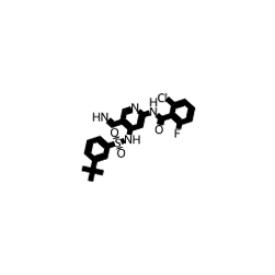 CC(C)(C)c1cccc(S(=O)(=O)Nc2cc(NC(=O)c3c(F)cccc3Cl)ncc2C=N)c1